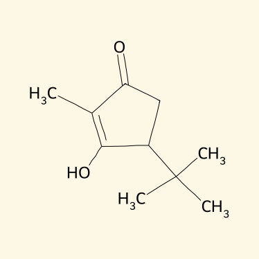 CC1=C(O)C(C(C)(C)C)CC1=O